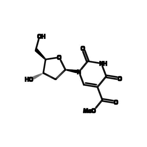 COC(=O)c1cn([C@H]2C[C@H](O)[C@@H](CO)O2)c(=O)[nH]c1=O